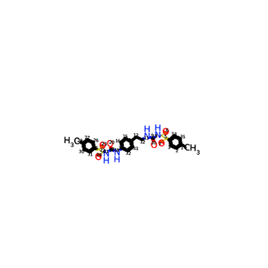 Cc1ccc(S(=O)(=O)NC(=O)NCCc2ccc(NC(=O)NS(=O)(=O)c3ccc(C)cc3)cc2)cc1